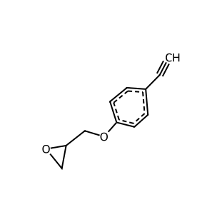 C#Cc1ccc(OCC2CO2)cc1